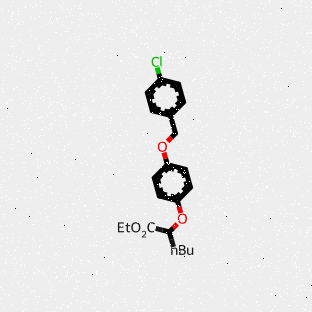 CCCCC(Oc1ccc(OCc2ccc(Cl)cc2)cc1)C(=O)OCC